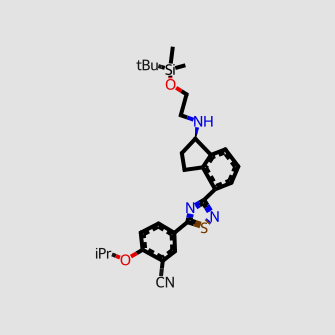 CC(C)Oc1ccc(-c2nc(-c3cccc4c3CC[C@H]4NCCO[Si](C)(C)C(C)(C)C)ns2)cc1C#N